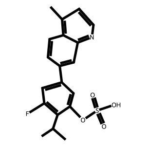 Cc1ccnc2cc(-c3cc(F)c(C(C)C)c(OS(=O)(=O)O)c3)ccc12